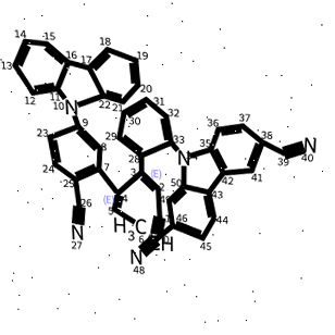 C#C/C=C(\C(=C/C)c1cc(-n2c3ccccc3c3ccccc32)ccc1C#N)c1ccccc1-n1c2ccc(C#N)cc2c2ccc(C#N)cc21